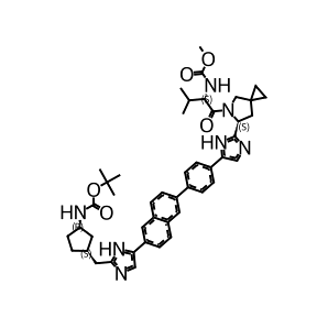 COC(=O)N[C@H](C(=O)N1CC2(CC2)C[C@H]1c1ncc(-c2ccc(-c3ccc4cc(-c5cnc(C[C@H]6CC[C@@H](NC(=O)OC(C)(C)C)C6)[nH]5)ccc4c3)cc2)[nH]1)C(C)C